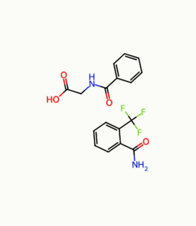 NC(=O)c1ccccc1C(F)(F)F.O=C(O)CNC(=O)c1ccccc1